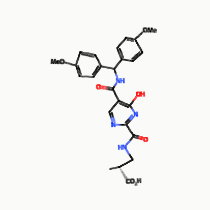 COc1ccc(C(NC(=O)c2cnc(C(=O)NC[C@@H](C)C(=O)O)nc2O)c2ccc(OC)cc2)cc1